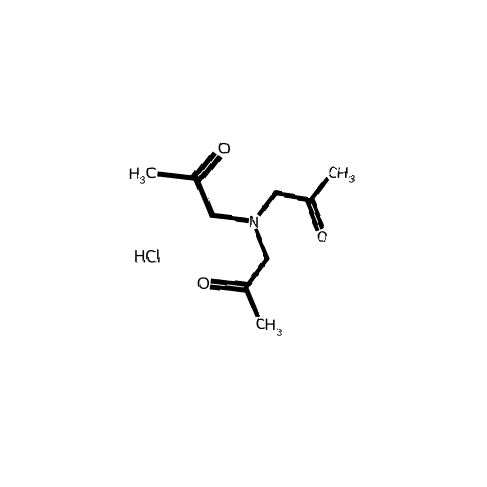 CC(=O)CN(CC(C)=O)CC(C)=O.Cl